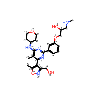 CNCC(O)COc1cccc(-c2nc(NC3CCOCC3)c(C)c(-c3c(CO)noc3C)n2)c1